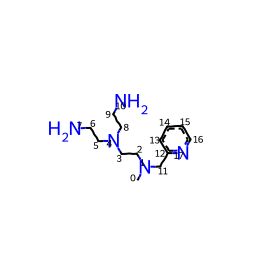 CN(CCN(CCN)CCN)Cc1ccccn1